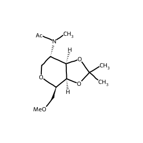 COC[C@H]1OC[C@H](N(C)C(C)=O)[C@H]2OC(C)(C)O[C@H]21